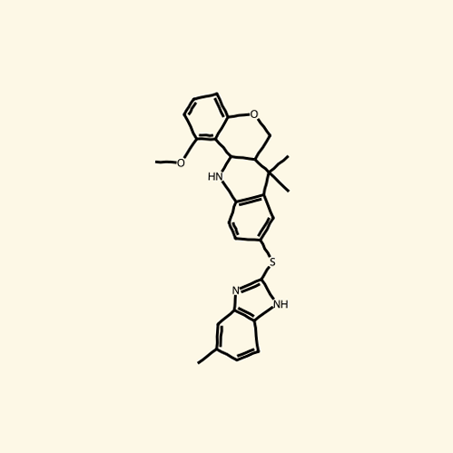 COc1cccc2c1C1Nc3ccc(Sc4nc5cc(C)ccc5[nH]4)cc3C(C)(C)C1CO2